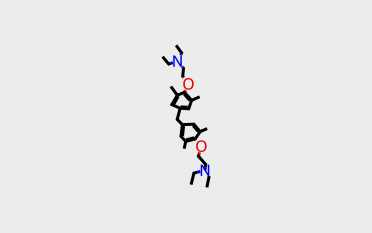 CCN(CC)CCOc1c(C)cc(Cc2cc(C)c(OCCN(CC)CC)c(C)c2)cc1C